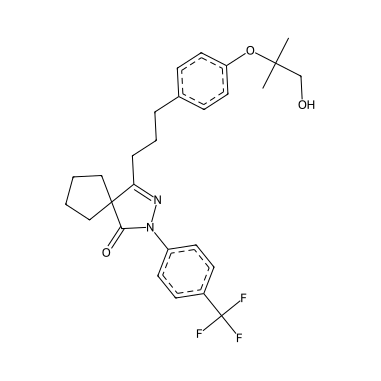 CC(C)(CO)Oc1ccc(CCCC2=NN(c3ccc(C(F)(F)F)cc3)C(=O)C23CCCC3)cc1